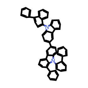 c1ccc(-c2ccccc2-n2c3ccc(-c4ccc5c(c4)c4ccccc4n5-c4ccc(-c5ccccc5)c5ccccc45)cc3c3cccc(-c4ccccc4)c32)cc1